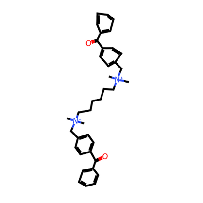 C[N+](C)(CCCCCC[N+](C)(C)Cc1ccc(C(=O)c2ccccc2)cc1)Cc1ccc(C(=O)c2ccccc2)cc1